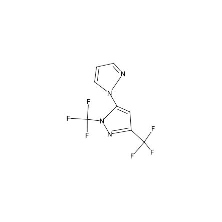 FC(F)(F)c1cc(-n2cccn2)n(C(F)(F)F)n1